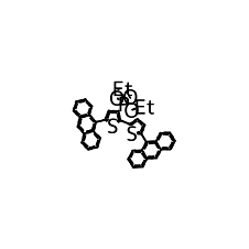 CCOP(=O)(OCC)c1cc(-c2c3ccccc3cc3ccccc23)sc1-c1ccc(-c2c3ccccc3cc3ccccc23)s1